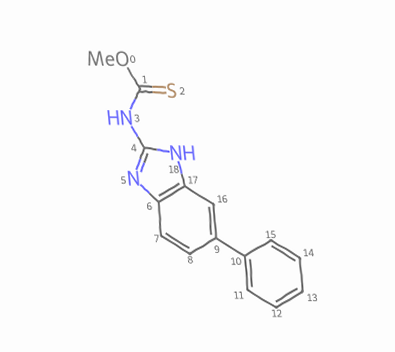 COC(=S)Nc1nc2ccc(-c3ccccc3)cc2[nH]1